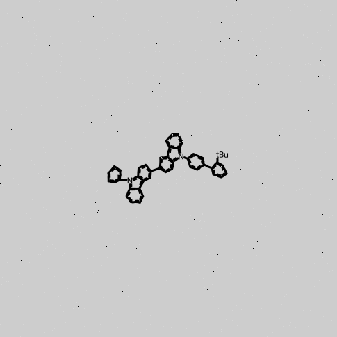 CC(C)(C)c1ccccc1-c1ccc(-n2c3ccccc3c3cc(-c4ccc5c(c4)c4ccccc4n5-c4ccccc4)ccc32)cc1